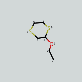 CCOC1CSCCS1